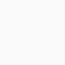 CCCc1nc(-c2cccc(Cl)c2)c(-c2ccnc(NC(=O)CC)c2)s1